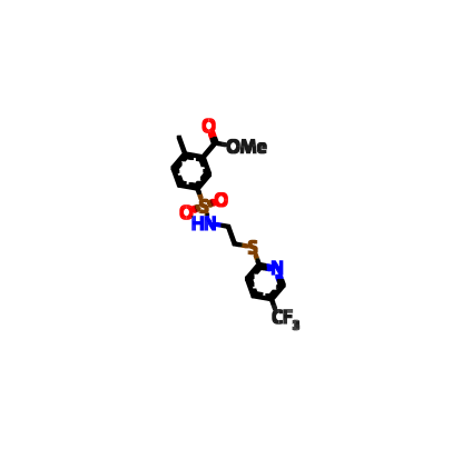 COC(=O)c1cc(S(=O)(=O)NCCSc2ccc(C(F)(F)F)cn2)ccc1C